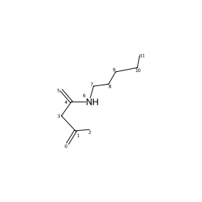 C=C(C)CC(=C)NCCCCC